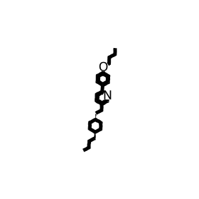 CCCCOc1ccc(-c2ccc(CC[C@H]3CC[C@H](CCCC)CC3)cn2)cc1